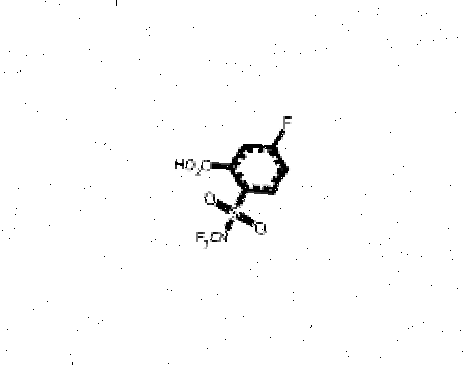 O=C(O)c1cc(F)ccc1S(=O)(=O)NC(F)(F)F